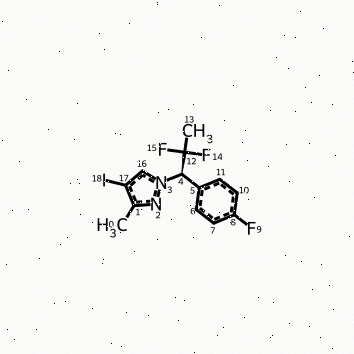 Cc1nn([C@H](c2ccc(F)cc2)C(C)(F)F)cc1I